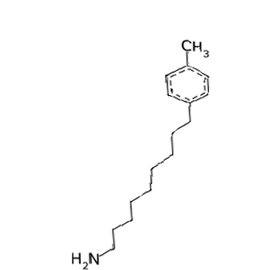 Cc1ccc(CCCCCCCCCN)cc1